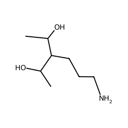 CC(O)C(CCCN)C(C)O